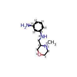 CN1CCOCC1CNc1cccc(N)c1